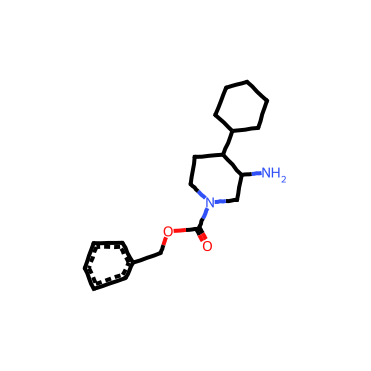 NC1CN(C(=O)OCc2ccccc2)CCC1C1CCCCC1